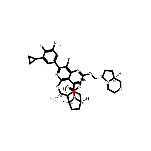 C[C@@H]1Oc2nc(-c3cc(N)c(F)c(C4CC4)c3)c(F)c3nc(OC[C@@H]4CC[C@H]5COCCN54)nc(c23)N2C[C@H]3CC[C@@H]([C@@H]12)N3C(=O)OC(C)(C)C